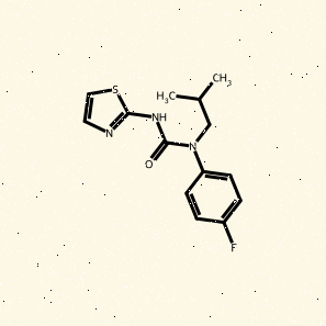 CC(C)CN(C(=O)Nc1nccs1)c1ccc(F)cc1